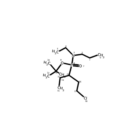 CCCN(CC)P(=O)(OC(C)(C)C)C(CC)CCCl